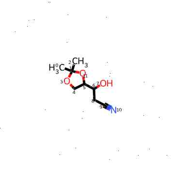 CC1(C)OCC(C(O)CC#N)O1